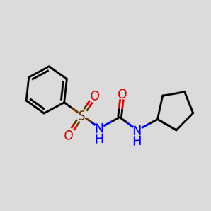 O=C(NC1CCCC1)NS(=O)(=O)c1ccccc1